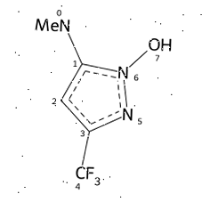 CNc1cc(C(F)(F)F)nn1O